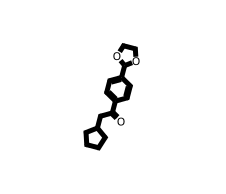 O=C(CC1CCCC1)c1ccc(C2OCCO2)cc1